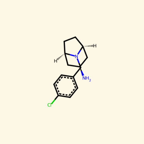 N[C@H]1C[C@H]2CC[C@@H](C1)N2Cc1ccc(Cl)cc1